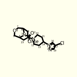 COC(=O)N1C2COCC1CC(N1CCC(n3cc(Cl)cn3)CC1)C2